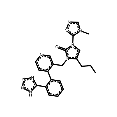 CCCc1cn(-c2nncn2C)c(=O)n1Cc1cnccc1-c1ccccc1-c1nnn[nH]1